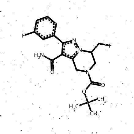 CC(C)(C)OC(=O)N1Cc2c(C(N)=O)c(-c3cccc(F)c3)nn2C(CF)C1